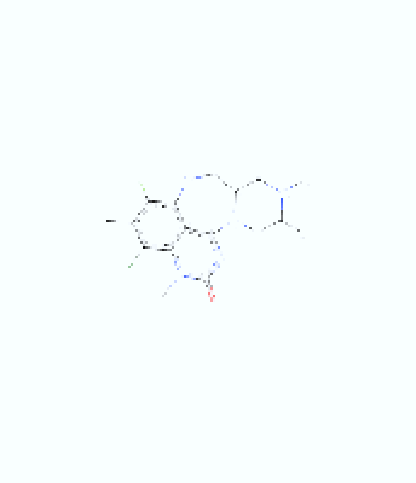 Cc1c(F)c2c3c(nc(=O)n(C)c3c1Cl)N1CC(C)N(C)CC1CN2